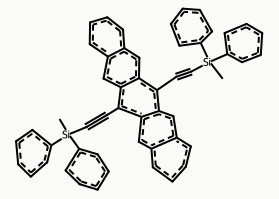 C[Si](C#Cc1c2cc3ccccc3cc2c(C#C[Si](C)(c2ccccc2)c2ccccc2)c2cc3ccccc3cc12)(c1ccccc1)c1ccccc1